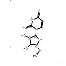 O=c1ccn([C@@H]2O[C@H](CO)[C](O)[C@H]2O)c(=O)[nH]1